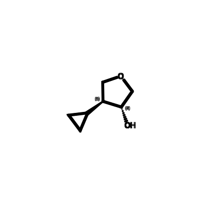 O[C@H]1COC[C@@H]1C1CC1